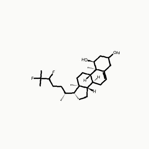 C[C@H](CCC(F)C(C)(C)F)[C@H]1CC[C@H]2[C@@H]3CC=C4CC(O)C[C@H](O)[C@]4(C)[C@H]3CC[C@]12C